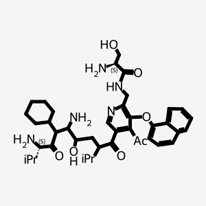 CC(=O)c1c(C(=O)C(CC(O)C(N)C(C(=O)[C@@H](N)C(C)C)C2CCCCC2)C(C)C)cnc(CNC(=O)[C@@H](N)CO)c1Oc1cccc2ccccc12